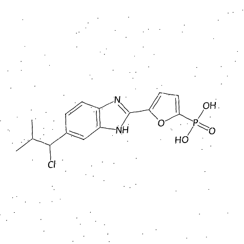 CC(C)C(Cl)c1ccc2nc(-c3ccc(P(=O)(O)O)o3)[nH]c2c1